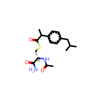 CC(=O)N[C@@H](CSC(=O)C(C)c1ccc(CC(C)C)cc1)C(N)=O